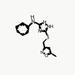 Cc1cc(CSc2nc(Nc3ccccc3)n[nH]2)no1